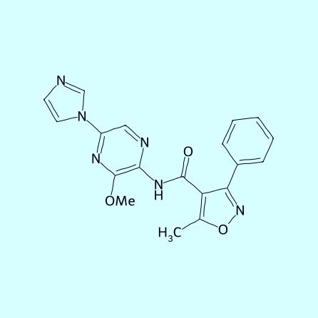 COc1nc(-n2ccnc2)cnc1NC(=O)c1c(-c2ccccc2)noc1C